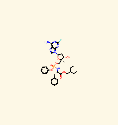 CCC(CC)COC(=O)[C@H](Cc1ccccc1)N[P@](=O)(OC[C@@]1(C)O[C@@H](n2cnc3c(N)nc(F)nc32)C[C@@H]1O)Oc1ccccc1